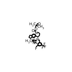 Cn1nnc(N(Cc2cc(CF)cc(C(F)(F)F)c2)[C@H]2CCCN(C(=O)OCC(C)(C)C=O)c3cc4c(cc32)CCC4)n1